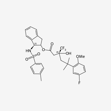 COc1ccc(F)cc1C(C)(C)C[C@@](O)(CC(=O)OC1Cc2ccccc2[C@@H]1NS(=O)(=O)c1ccc(C)cc1)C(F)(F)F